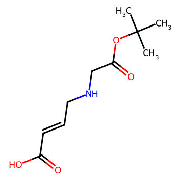 CC(C)(C)OC(=O)CNC/C=C/C(=O)O